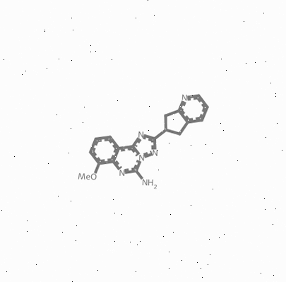 COc1cccc2c1nc(N)n1nc(C3Cc4cccnc4C3)nc21